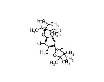 Cc1cc(B2OC(C)(C)C(C)(C)O2)c(C)c(Cl)c1O[Si](C(C)C)(C(C)C)C(C)C